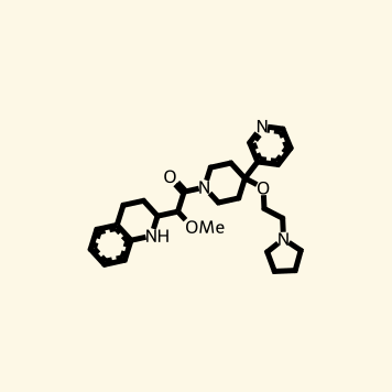 COC(C(=O)N1CCC(OCCN2CCCC2)(c2cccnc2)CC1)C1CCc2ccccc2N1